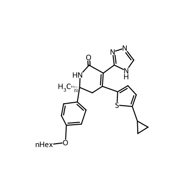 CCCCCCOc1ccc([C@]2(C)CC(c3ccc(C4CC4)s3)=C(c3nnc[nH]3)C(=O)N2)cc1